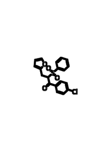 O=C(c1ccc(Cl)cc1)C(Cc1ccco1)S(=O)(=O)c1ccccc1